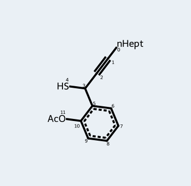 CCCCCCCC#CC(S)c1ccccc1OC(C)=O